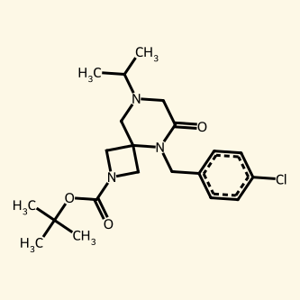 CC(C)N1CC(=O)N(Cc2ccc(Cl)cc2)C2(CN(C(=O)OC(C)(C)C)C2)C1